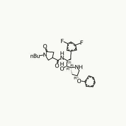 CCCCN1CC(C(=O)N[C@@H](Cc2cc(F)cc(F)c2)[C@H](O)[C@H]2C[C@@H](Oc3ccccc3)CN2)CC1=O